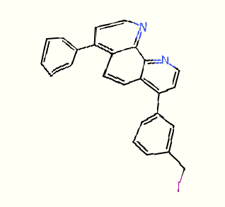 ICc1cccc(-c2ccnc3c2ccc2c(-c4ccccc4)ccnc23)c1